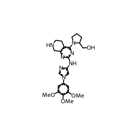 COc1cc(-n2cnc(Nc3nc4c(c(N5CCCC5CO)n3)CCNC4)c2)cc(OC)c1OC